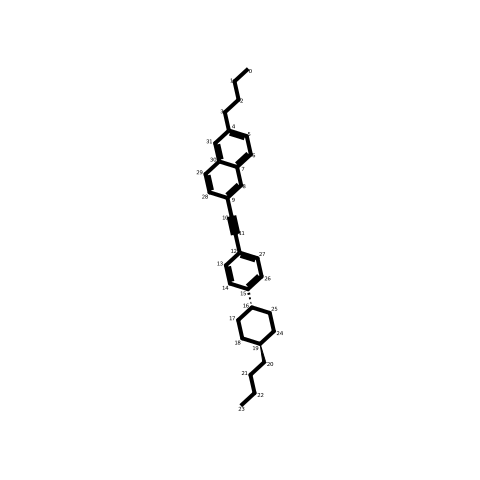 CCCCc1ccc2cc(C#Cc3ccc([C@H]4CC[C@H](CCCC)CC4)cc3)ccc2c1